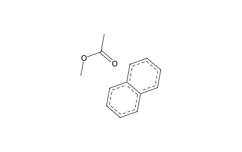 COC(C)=O.c1ccc2ccccc2c1